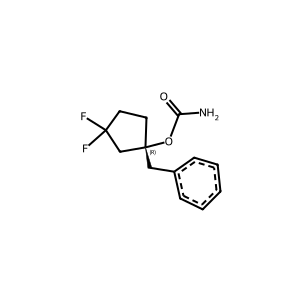 NC(=O)O[C@@]1(Cc2ccccc2)CCC(F)(F)C1